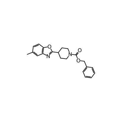 Cc1ccc2oc(C3CCN(C(=O)OCc4ccccc4)CC3)nc2c1